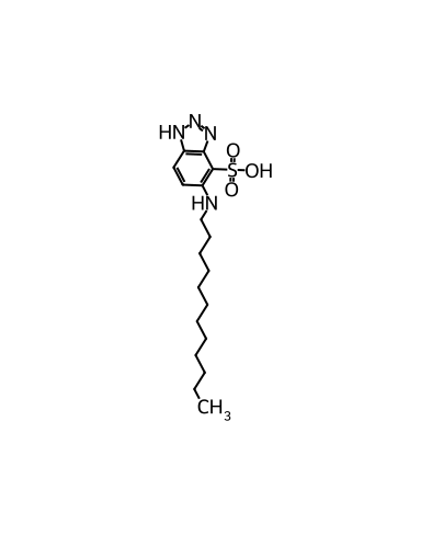 CCCCCCCCCCCCNc1ccc2[nH]nnc2c1S(=O)(=O)O